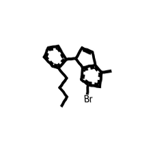 CCCCc1ccccc1C1C=Cc2c(C)cc(Br)cc21